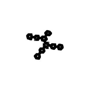 c1ccc(-c2ccc(-c3nc(-c4ccc(-c5ccccc5)cc4)nc(-c4cc(-c5ccccc5)cc(-c5ccc(-c6ccccc6)nc5)c4)n3)cc2)cc1